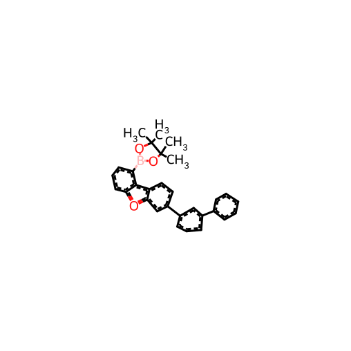 CC1(C)OB(c2cccc3oc4cc(-c5cccc(-c6ccccc6)c5)ccc4c23)OC1(C)C